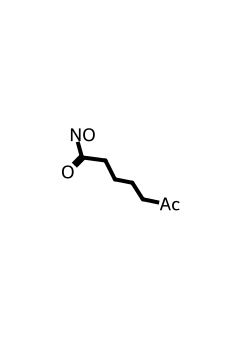 CC(=O)CCCCC(=O)N=O